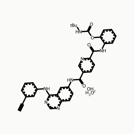 C#Cc1cccc(Nc2ncnc3ccc(NC(=O)c4ccc(C(=O)Nc5ccccc5OC(=O)NC(C)(C)C)nc4)cc23)c1.O.O